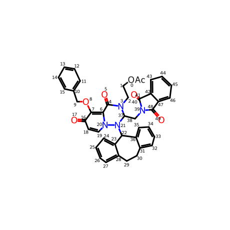 CC(=O)OCCN1C(=O)c2c(OCc3ccccc3)c(=O)ccn2N(C2c3ccccc3CCc3ccccc32)C1CN1C(=O)c2ccccc2C1=O